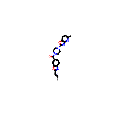 CC/C=C/c1nc2ccc(C(=O)N3CCN(c4nc5nc(C)ccc5o4)CC3)cc2o1